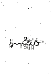 Cc1ccc(NC(=O)NC2NC(C)CC(NCCCc3cnc[nH]3)N2C)cc1C